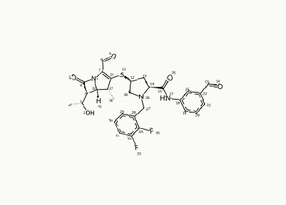 C[C@@H](O)[C@H]1C(=O)N2C(C=O)=C(S[C@H]3C[C@@H](C(=O)Nc4cccc(C=O)c4)N(Cc4cccc(F)c4F)C3)[C@H](C)[C@H]12